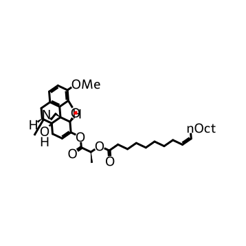 CCCCCCCC/C=C\CCCCCCCC(=O)O[C@@H](C)C(=O)OC1=CC[C@]2(O)[C@@H]3Cc4ccc(OC)c5c4[C@]2(CCN3C)[C@@H]1O5